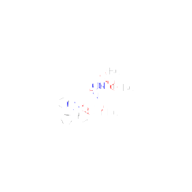 CCCCOC(=O)[C@H](CC(=O)NC(c1ccccc1)(c1ccccc1)c1ccccc1)N(C[C@H](COC(C)(C)C)NC(=O)OC(C)(C)C)C(=O)OCC(C)C